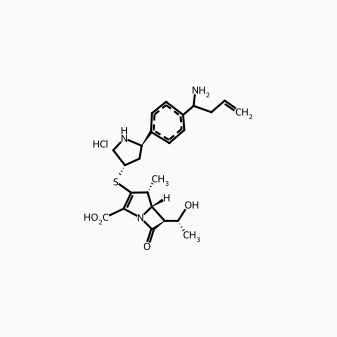 C=CCC(N)c1ccc([C@H]2C[C@H](SC3=C(C(=O)O)N4C(=O)[C@H]([C@@H](C)O)[C@H]4[C@H]3C)CN2)cc1.Cl